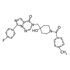 Cc1ccc(C(=O)N2CCC(O)(Cn3cnn4c(-c5ccc(F)cc5)ncc4c3=O)CC2)cc1